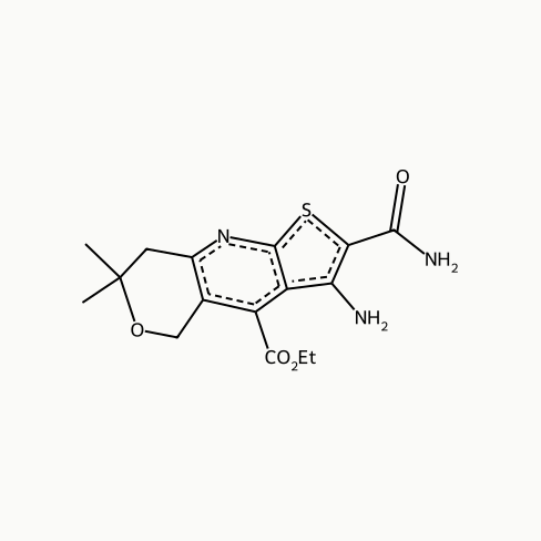 CCOC(=O)c1c2c(nc3sc(C(N)=O)c(N)c13)CC(C)(C)OC2